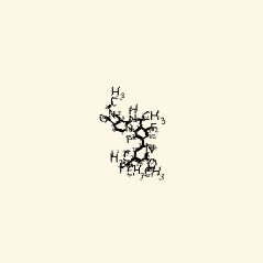 CCN1Cc2c(ccnc2N[C@@H](C)c2cc(F)c(-c3cc(C(C)(C)F)cc(OC)n3)cc2F)C1=O